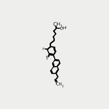 C=CCc1ccc2cc(-c3ccc(/C=C/CCCC(C)O)c(F)c3F)ccc2c1